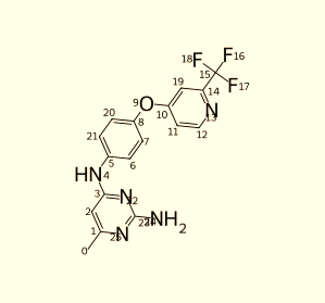 Cc1cc(Nc2ccc(Oc3ccnc(C(F)(F)F)c3)cc2)nc(N)n1